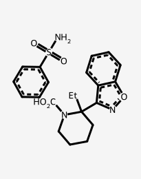 CCC1(c2noc3ccccc23)CCCCN1C(=O)O.NS(=O)(=O)c1ccccc1